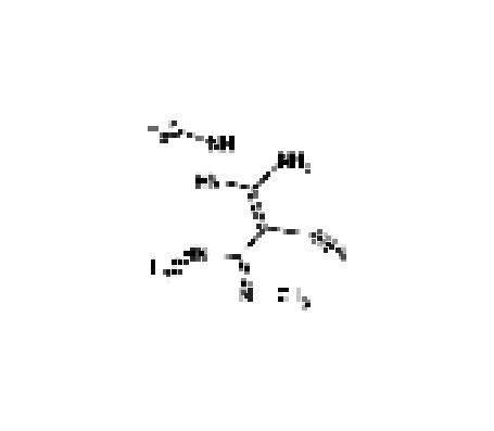 C/N=C(NC)\C(C#N)=C(\N)NNC